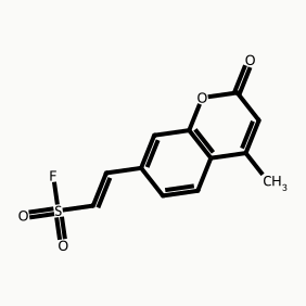 Cc1cc(=O)oc2cc(/C=C/S(=O)(=O)F)ccc12